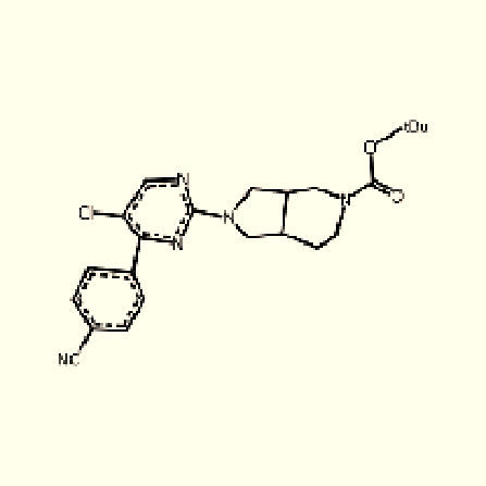 CC(C)(C)OC(=O)N1CCC2CN(c3ncc(Cl)c(-c4ccc(C#N)cc4)n3)CC2C1